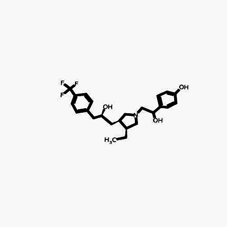 CC[C@@H]1CN(CC(O)c2ccc(O)cc2)C[C@@H]1C[C@H](O)Cc1ccc(C(F)(F)F)cc1